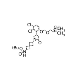 CC(C)(C)OC(=O)NC1CC2(C1)CC(N1CC(c3c(OCOCC[Si](C)(C)C)ccc(Cl)c3Cl)CC1=O)C2